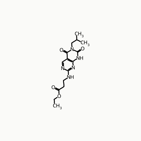 CCOC(=O)CCNc1ncc2c(=O)n(CC(C)C)c(=O)[nH]c2n1